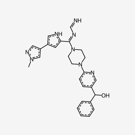 Cn1cc(-c2c[nH]c(/C(=N\C=N)N3CCN(c4ccc(C(O)c5ccccc5)cn4)CC3)c2)cn1